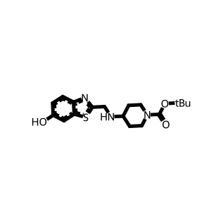 CC(C)(C)OC(=O)N1CCC(NCc2nc3ccc(O)cc3s2)CC1